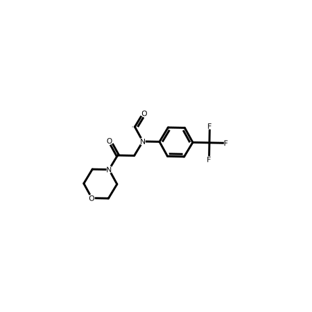 O=[C]N(CC(=O)N1CCOCC1)c1ccc(C(F)(F)F)cc1